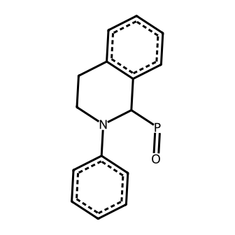 O=PC1c2ccccc2CCN1c1ccccc1